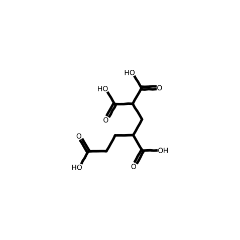 O=C(O)CCC(CC(C(=O)O)C(=O)O)C(=O)O